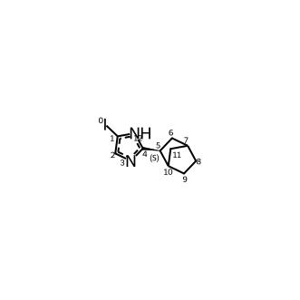 Ic1cnc([C@H]2CC3CCC2C3)[nH]1